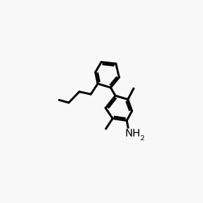 CCCCc1ccccc1-c1cc(C)c(N)cc1C